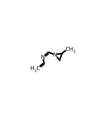 C=C/N=C\N1CC1C